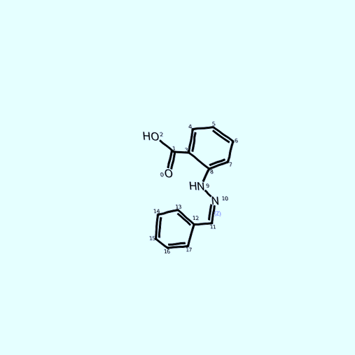 O=C(O)c1ccccc1N/N=C\c1ccccc1